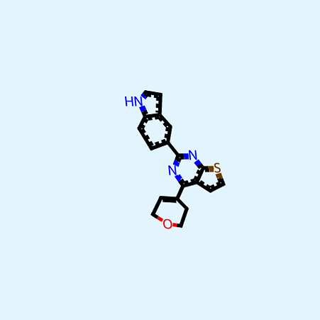 C1=C(c2nc(-c3ccc4[nH]ccc4c3)nc3sccc23)CCOC1